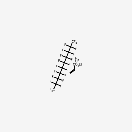 C=CC(=O)OCC.FC(F)(F)C(F)(F)C(F)(F)C(F)(F)C(F)(F)C(F)(F)C(F)(F)C(F)(F)C(F)(F)C(F)(F)F.O